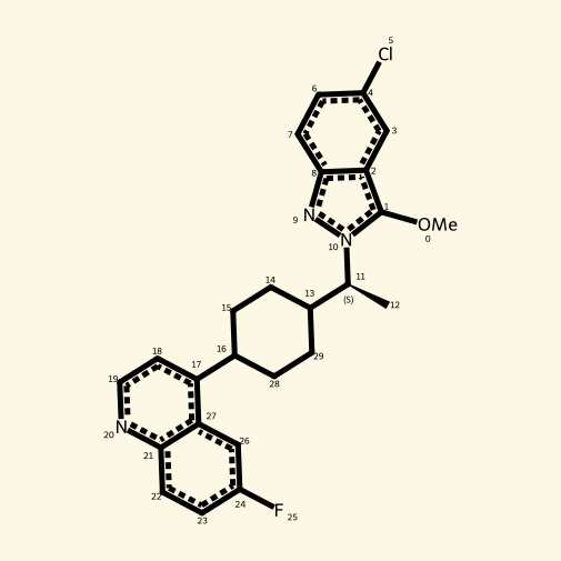 COc1c2cc(Cl)ccc2nn1[C@@H](C)C1CCC(c2ccnc3ccc(F)cc23)CC1